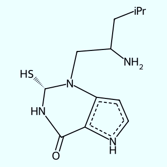 CC(C)CC(N)CN1c2cc[nH]c2C(=O)N[C@@H]1S